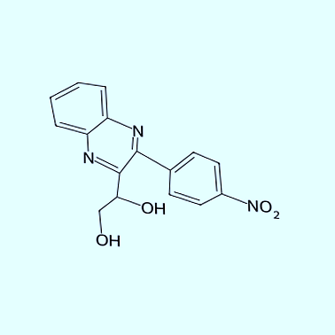 O=[N+]([O-])c1ccc(-c2nc3ccccc3nc2C(O)CO)cc1